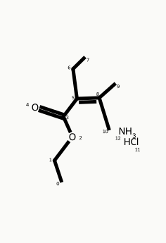 CCOC(=O)C(CC)=C(C)C.Cl.N